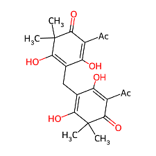 CC(=O)C1=C(O)C(CC2=C(O)C(C)(C)C(=O)C(C(C)=O)=C2O)=C(O)C(C)(C)C1=O